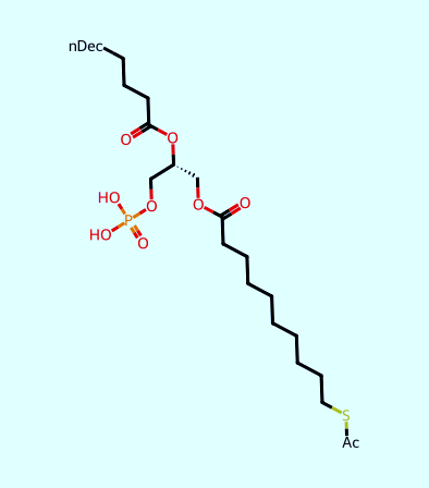 CCCCCCCCCCCCCC(=O)O[C@H](COC(=O)CCCCCCCCCSC(C)=O)COP(=O)(O)O